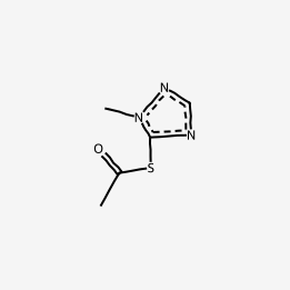 CC(=O)Sc1ncnn1C